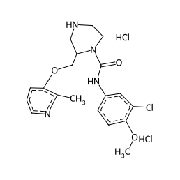 COc1ccc(NC(=O)N2CCNCC2COc2cccnc2C)cc1Cl.Cl.Cl